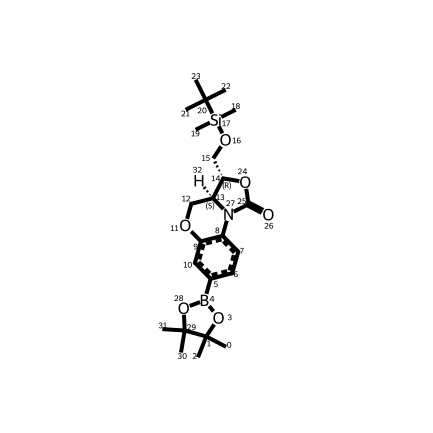 CC1(C)OB(c2ccc3c(c2)OC[C@H]2[C@H](CO[Si](C)(C)C(C)(C)C)OC(=O)N32)OC1(C)C